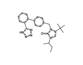 CCC(C)n1cc(C(C)(C)C)n(Cc2ccc(-c3ccccc3-c3nnn[nH]3)cc2)c1=O